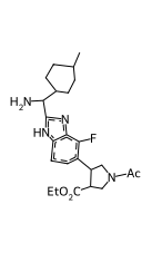 CCOC(=O)C1CN(C(C)=O)CC1c1ccc2[nH]c(C(N)C3CCC(C)CC3)nc2c1F